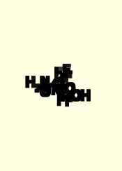 NC(=O)c1cc(C(F)(F)F)ccn1.O=C(O)C(F)(F)F